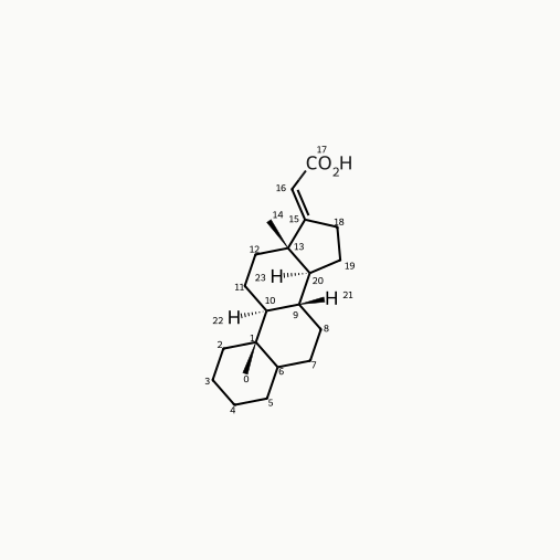 C[C@]12CCCCC1CC[C@@H]1[C@@H]2CC[C@]2(C)C(=CC(=O)O)CC[C@@H]12